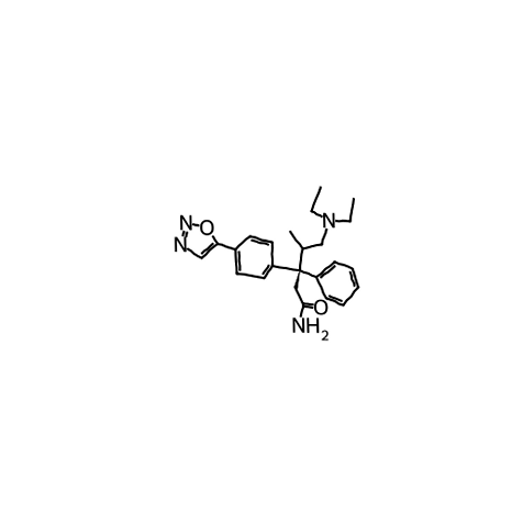 CCN(CC)CC(C)[C@](CC(N)=O)(c1ccccc1)c1ccc(-c2cnno2)cc1